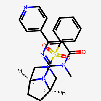 Cn1c(N2[C@@H]3CC[C@H]2CN(S(=O)(=O)c2ccccc2)C3)nc(-c2ccncc2)cc1=O